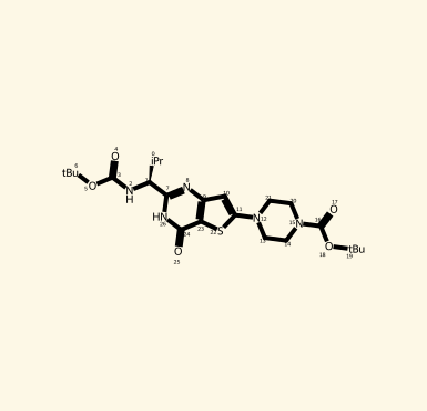 CC(C)[C@H](NC(=O)OC(C)(C)C)c1nc2cc(N3CCN(C(=O)OC(C)(C)C)CC3)sc2c(=O)[nH]1